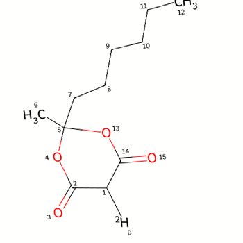 [2H]C1C(=O)OC(C)(CCCCCC)OC1=O